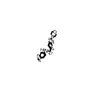 O=C(Nc1ccc2ncoc2c1)c1cc2sc(N3CCOCC3)nc2s1